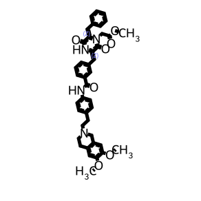 COC(=O)Cn1c(=O)/c(=C/c2cccc(C(=O)Nc3ccc(CCN4CCc5cc(OC)c(OC)cc5C4)cc3)c2)[nH]c(=O)/c1=C/c1ccccc1